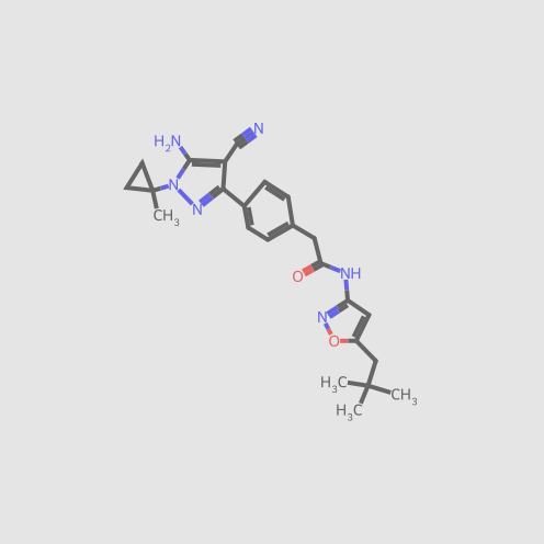 CC(C)(C)Cc1cc(NC(=O)Cc2ccc(-c3nn(C4(C)CC4)c(N)c3C#N)cc2)no1